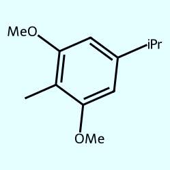 COc1cc(C(C)C)cc(OC)c1C